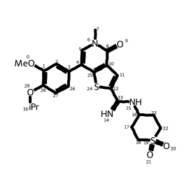 COc1cc(-c2cn(C)c(=O)c3cc(C(=N)NC4CCS(=O)(=O)CC4)sc23)ccc1OC(C)C